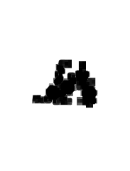 COc1ccc(OCCOCCO)c(C(=O)c2ccc(C(=O)N[C@@H]3CNC[C@@H]3NC(=O)c3ccc4cn[nH]c4c3)cc2)c1OC